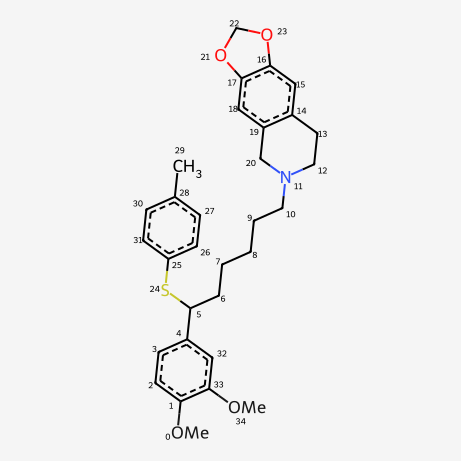 COc1ccc(C(CCCCCN2CCc3cc4c(cc3C2)OCO4)Sc2ccc(C)cc2)cc1OC